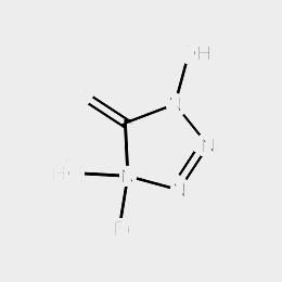 CC[N+]1(O)N=NN(O)C1=O